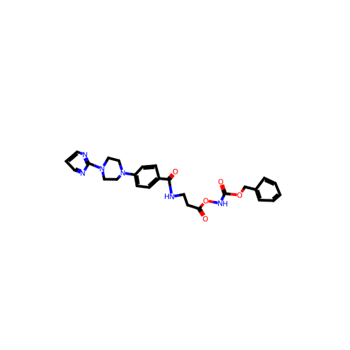 O=C(CCNC(=O)c1ccc(N2CCN(c3ncccn3)CC2)cc1)ONC(=O)OCc1ccccc1